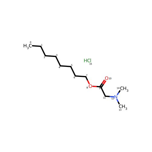 CCCCCCCCOC(=O)CN(C)C.Cl